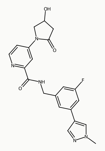 Cn1cc(-c2cc(F)cc(CNC(=O)c3cc(N4CC(O)CC4=O)ccn3)c2)cn1